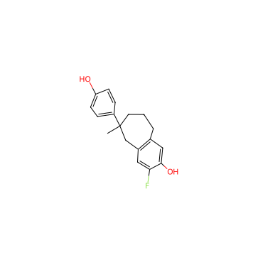 CC1(c2ccc(O)cc2)CCCc2cc(O)c(F)cc2C1